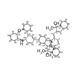 C/C=C\C(=C/C1=Cc2ccccc2C1(C)C)n1c2c(c3cc(C4=CC5c6ccccc6Oc6ccccc6NC5C=C4)ccc31)C(C)(C)c1ccccc1-2